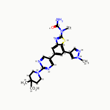 CCN(C(N)=O)c1nc2cc(-c3cnc(N4CCC(C)(C(=O)O)CC4)nc3)cc(-c3cnn(C)c3)c2s1